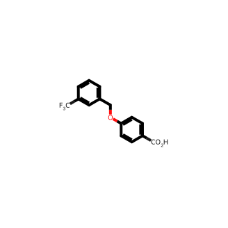 O=C(O)c1ccc(OCc2cccc(C(F)(F)F)c2)cc1